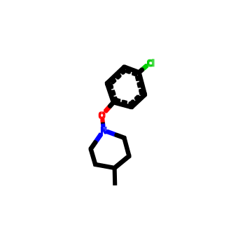 CC1CCN(Oc2ccc(Cl)cc2)CC1